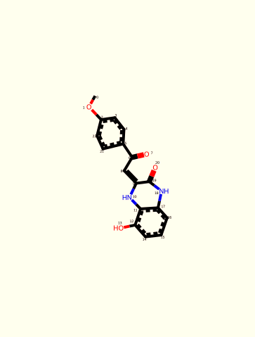 COc1ccc(C(=O)C=C2Nc3c(O)cccc3NC2=O)cc1